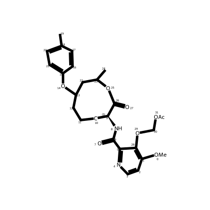 COc1ccnc(C(=O)N[C@H]2CCCC(Oc3ccc(C)cc3)CC(C)OC2=O)c1OCOC(C)=O